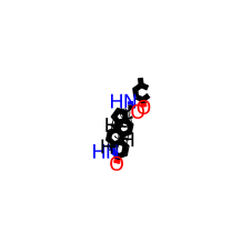 CC(=O)C(CC(C)C)NC(=O)[C@@H]1CC[C@@H]2[C@H]3CC[C@H]4NC(=O)C=C[C@]4(C)[C@@H]3CC[C@]21C